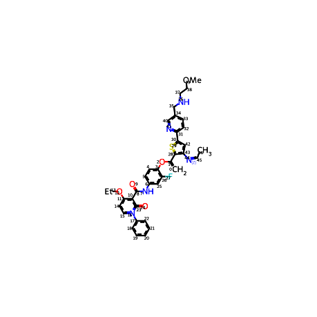 C=C(Oc1ccc(NC(=O)c2c(OCC)ccn(-c3ccccc3)c2=O)cc1F)c1sc(-c2ccc(CNCCOC)cn2)cc1/N=C\C